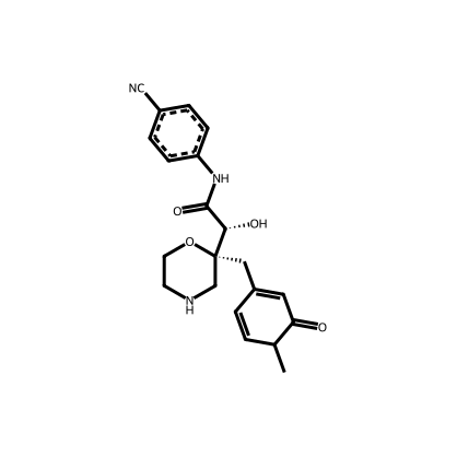 CC1C=CC(C[C@]2([C@@H](O)C(=O)Nc3ccc(C#N)cc3)CNCCO2)=CC1=O